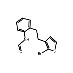 O=CNc1ccccc1CCc1ccsc1Br